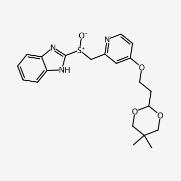 CC1(C)COC(CCOc2ccnc(C[S+]([O-])c3nc4ccccc4[nH]3)c2)OC1